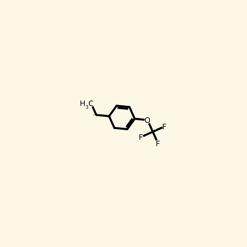 C[CH]C1C=CC(OC(F)(F)F)=CC1